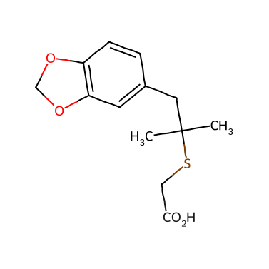 CC(C)(Cc1ccc2c(c1)OCO2)SCC(=O)O